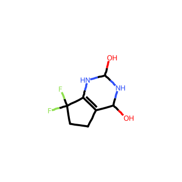 OC1NC2=C(CCC2(F)F)C(O)N1